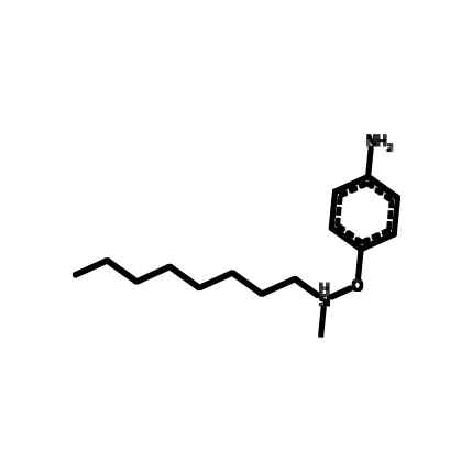 CCCCCCCC[SiH](C)Oc1ccc(N)cc1